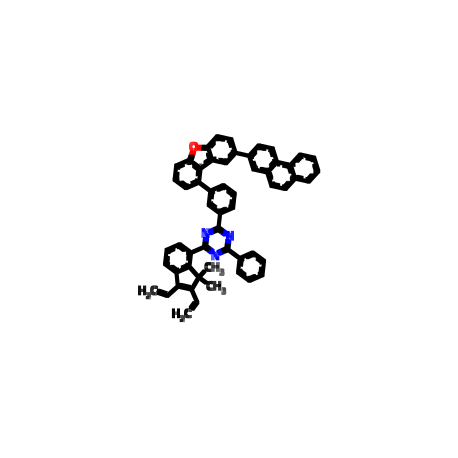 C=CC1=C(C=C)C(C)(C)c2c1cccc2-c1nc(-c2ccccc2)nc(-c2cccc(-c3cccc4oc5ccc(-c6ccc7c(ccc8ccccc87)c6)cc5c34)c2)n1